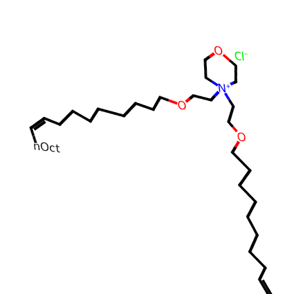 CCCCCCCC/C=C\CCCCCCCCOCC[N+]1(CCOCCCCCCCC/C=C\CCCCCCCC)CCOCC1.[Cl-]